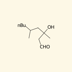 CCCCC(C)CC(C)(O)CC=O